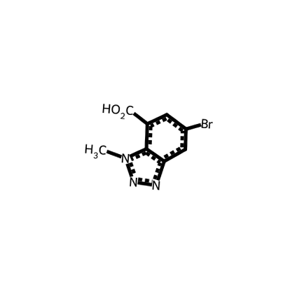 Cn1nnc2cc(Br)cc(C(=O)O)c21